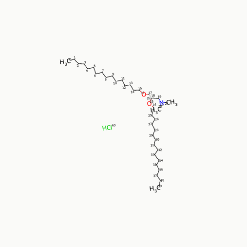 CCCCCCCCCCCCCCCCOC[C@H](CN(C)C)OCCCCCCCCCCCCCCCC.Cl